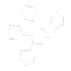 c1ccc(B2c3c(sc4ccccc34)-c3oc4ccccc4c3N2c2ccccc2)cc1